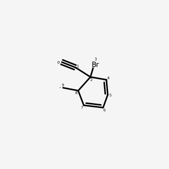 C#CC1(Br)C=CC=CC1[CH2]